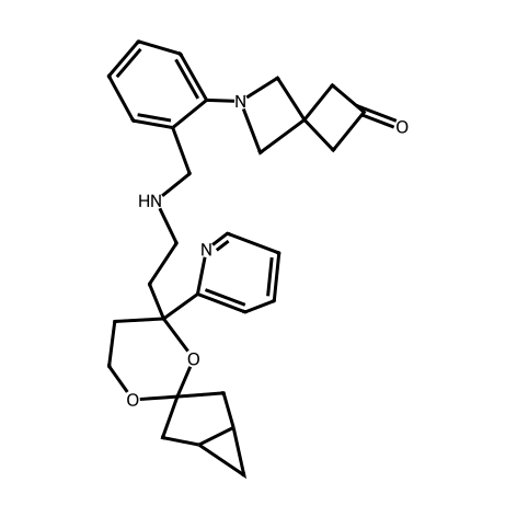 O=C1CC2(C1)CN(c1ccccc1CNCCC1(c3ccccn3)CCOC3(CC4CC4C3)O1)C2